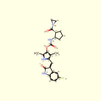 Cc1[nH]c(/C=C2\C(=O)Nc3ccc(F)cc32)c(C)c1OC(=O)N[C@@H]1CCC[C@@H]1C(=O)N1CC1